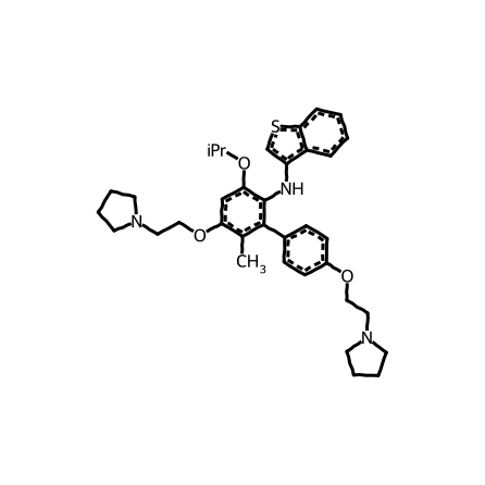 Cc1c(OCCN2CCCC2)cc(OC(C)C)c(Nc2csc3ccccc23)c1-c1ccc(OCCN2CCCC2)cc1